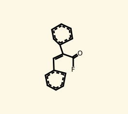 O=C(F)C(=Cc1ccccc1)c1ccccc1